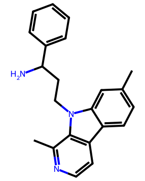 Cc1ccc2c3ccnc(C)c3n(CCC(N)c3ccccc3)c2c1